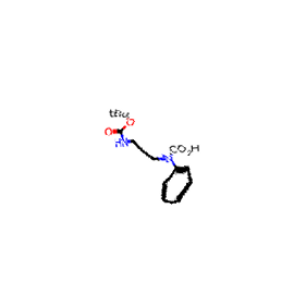 CC(C)(C)OC(=O)NCCN(C(=O)O)c1ccccc1